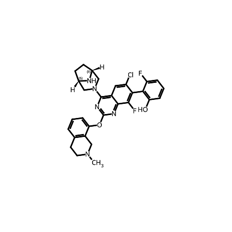 CN1CCc2cccc(Oc3nc(N4C[C@H]5CC[C@@H](C4)N5)c4cc(Cl)c(-c5c(O)cccc5F)c(F)c4n3)c2C1